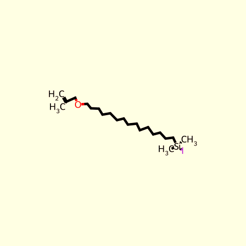 C=C(C)COCCCCCCCCCCCCCCC[Si](C)(C)I